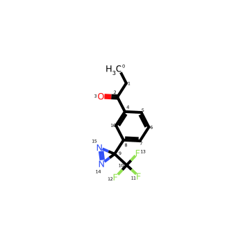 CCC(=O)c1cccc(C2(C(F)(F)F)N=N2)c1